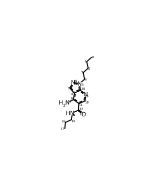 CCCCCn1ncc2c(N)c(C(=O)NCCC)cnc21